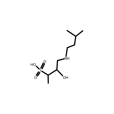 CC(C)CCNCC(O)C(C)S(=O)(=O)O